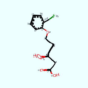 O=C(O)CC(O)CCOc1ccccc1F